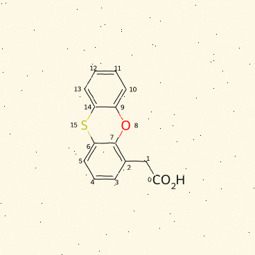 O=C(O)Cc1cccc2c1Oc1ccccc1S2